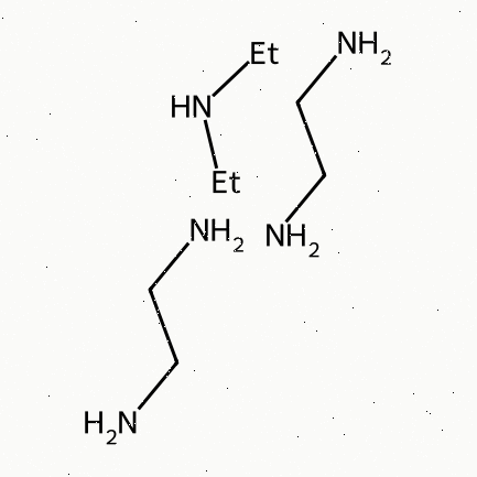 CCNCC.NCCN.NCCN